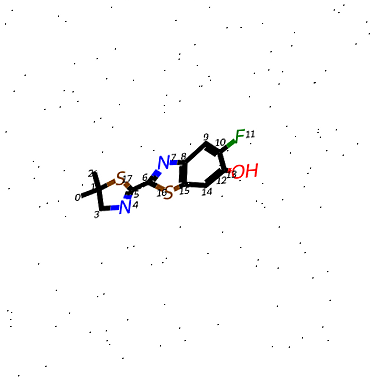 CC1(C)CN=C(c2nc3cc(F)c(O)cc3s2)S1